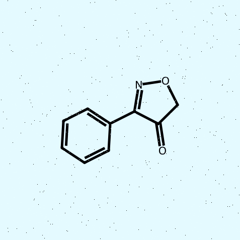 O=C1CON=C1c1ccccc1